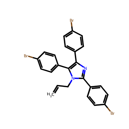 C=CCn1c(-c2ccc(Br)cc2)nc(-c2ccc(Br)cc2)c1-c1ccc(Br)cc1